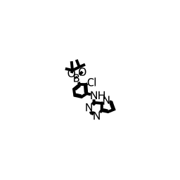 CC1(C)OB(c2cccc(Nc3ncnc4cccnc34)c2Cl)OC1(C)C